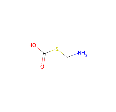 NCSC(=O)O